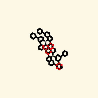 c1ccc(-c2cc(-c3ccccc3)cc(N(c3c(-c4ccccc4)ccc4ccc(-c5ccccc5)cc34)c3ccc4ccc5c(N(c6ccc(-c7ccccc7)cc6-c6ccccc6)c6c(-c7ccccc7)ccc7ccc(-c8ccccc8)cc67)ccc6ccc3c4c65)c2)cc1